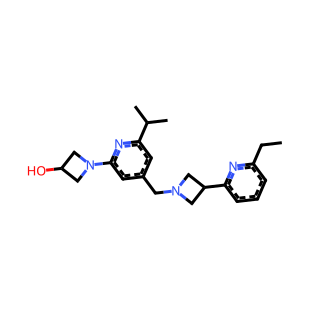 CCc1cccc(C2CN(Cc3cc(C(C)C)nc(N4CC(O)C4)c3)C2)n1